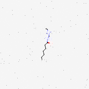 CCCCCCCCCCCCCCC(=O)NC[N+](C)(C)CC(=O)O